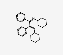 c1ccc(C(=NC2CCCCC2)C(=NC2CCCCC2)c2ccccc2)cc1